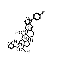 C[C@]12Cc3cnn(-c4ccc(F)cc4)c3C=C1CC[C@@H]1[C@@H]2[C@@H](O)C[C@@]2(C)[C@H]1CC[C@]2(OC(=O)c1ccno1)C(=O)S